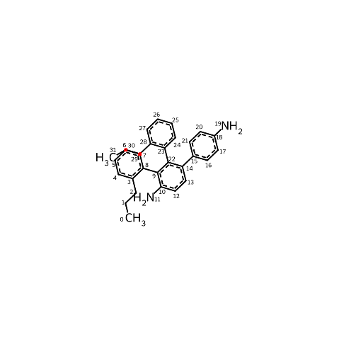 CCCc1ccccc1-c1c(N)ccc(-c2ccc(N)cc2)c1-c1ccccc1CCC